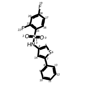 O=S(=O)(Nc1csc(-c2ccccc2)c1)c1ccc(F)cc1F